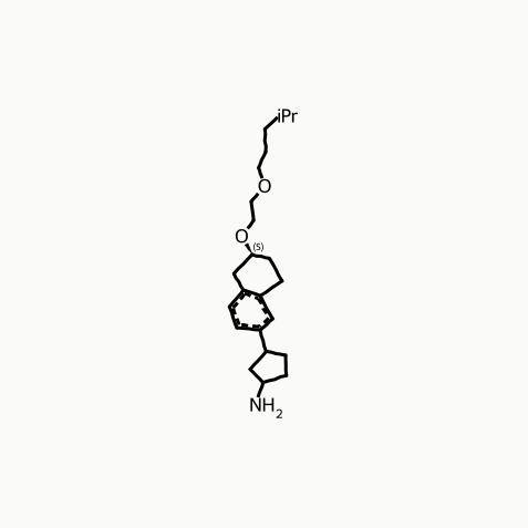 CC(C)CCCOCCO[C@H]1CCc2cc(C3CCC(N)C3)ccc2C1